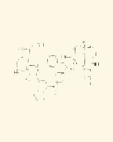 CNCC(=S)N[C@H]1CCS[C@H]2CC(C)(C)[C@@H](C(=O)N[C@H](C(=O)N3CCN(C(=O)C(/C=N/C(=O)[C@H]4N5C(=O)[C@@H](NC(S)[C@H](C)NC)CCS[C@H]5CC4(C)C)c4ccccc4)CC3)c3ccccc3)N2C1=O